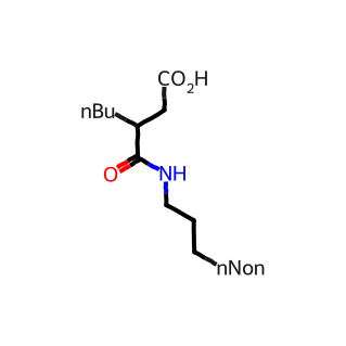 CCCCCCCCCCCCNC(=O)C(CCCC)CC(=O)O